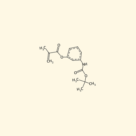 C=C(C)C(=O)Oc1cccc(NC(=O)OC(C)(C)C)c1